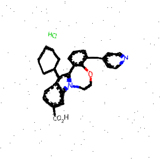 Cl.O=C(O)c1ccc2c(C3CCCCC3)c3n(c2c1)CCOc1c(-c2ccncc2)cccc1-3